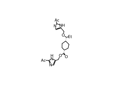 CCC(OCc1cnc(C(C)=O)[nH]1)[C@H]1CC[C@@H](C(=O)OCc2cnc(C(C)=O)[nH]2)CC1